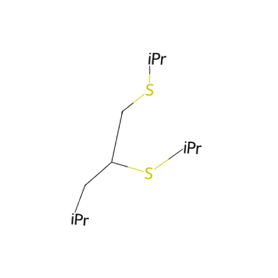 CC(C)CC(CSC(C)C)SC(C)C